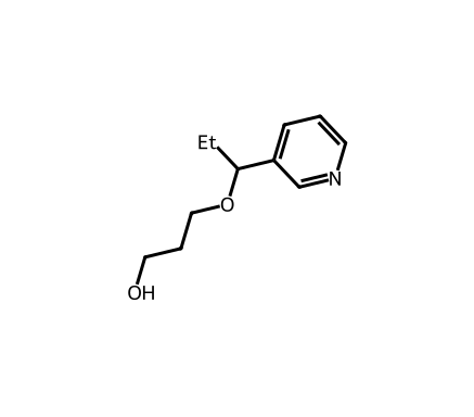 CCC(OCCCO)c1cccnc1